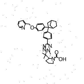 CC(C)(C)[C@]1(Cn2nnc(-c3ccc(C4(c5ccc(OCc6ccccn6)cc5)CC5CCC4C5)cc3)n2)CCCN1C(=O)O